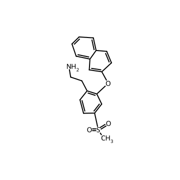 CS(=O)(=O)c1ccc(CCN)c(Oc2ccc3ccccc3c2)c1